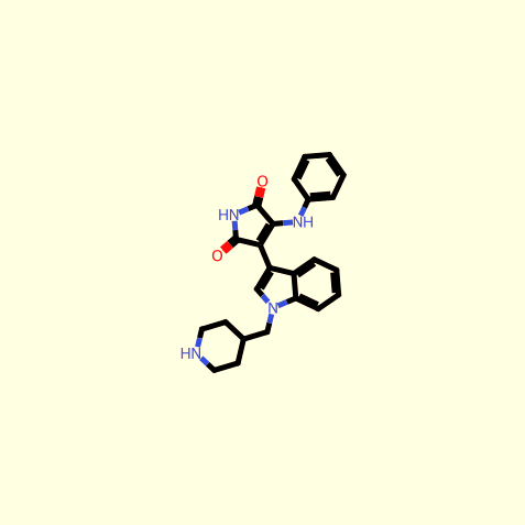 O=C1NC(=O)C(c2cn(CC3CCNCC3)c3ccccc23)=C1Nc1ccccc1